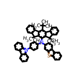 CC(C)(C)c1c2c(c(N(c3ccc(-n4c5ccccc5c5ccccc54)cc3)c3ccc4c(c3)sc3ccccc34)c3c1-c1ccccc1C3(C)C)C(C)(C)c1ccccc1-2